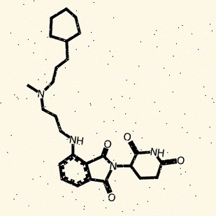 CN(CCCNc1cccc2c1C(=O)N(C1CCC(=O)NC1=O)C2=O)CCCC1CCCCC1